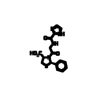 O=C(NCC(=O)N1[C@@H](c2ccccc2)SC[C@H]1C(=O)O)c1ncc[nH]1